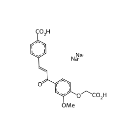 COc1cc(C(=O)C=Cc2ccc(C(=O)O)cc2)ccc1OCC(=O)O.[Na].[Na]